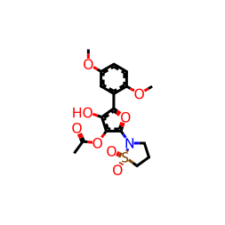 COc1ccc(OC)c(-c2oc(N3CCCS3(=O)=O)c(OC(C)=O)c2O)c1